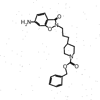 Nc1ccc2c(=O)n(CCCC3CCN(C(=O)OCc4ccccc4)CC3)oc2c1